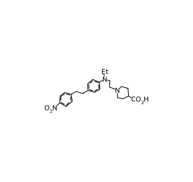 CCN(CCN1CCC(C(=O)O)CC1)c1ccc(CCc2ccc([N+](=O)[O-])cc2)cc1